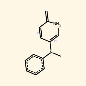 C=C(N)/C=C\C(=C/C)N(C)c1ccccc1